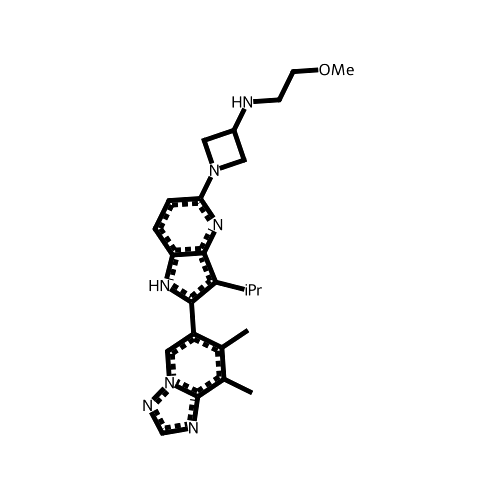 COCCNC1CN(c2ccc3[nH]c(-c4cn5ncnc5c(C)c4C)c(C(C)C)c3n2)C1